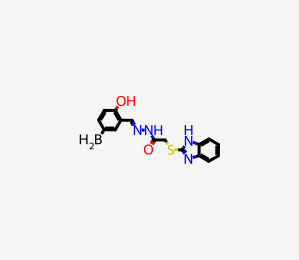 Bc1ccc(O)c(/C=N/NC(=O)CSc2nc3ccccc3[nH]2)c1